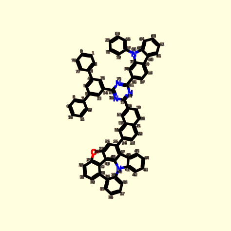 c1ccc(-c2cc(-c3ccccc3)cc(-c3nc(-c4ccc5ccc(-c6cc7oc8cccc9c%10ccccc%10n%10c%11ccccc%11c6c%10c7c89)cc5c4)nc(-c4ccc5c6ccccc6n(-c6ccccc6)c5c4)n3)c2)cc1